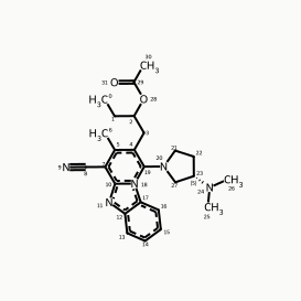 CCC(Cc1c(C)c(C#N)c2nc3ccccc3n2c1N1CC[C@H](N(C)C)C1)OC(C)=O